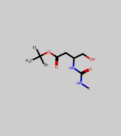 CCC(C)(OC(=O)CC(CO)NC(=O)NI)C(C)C